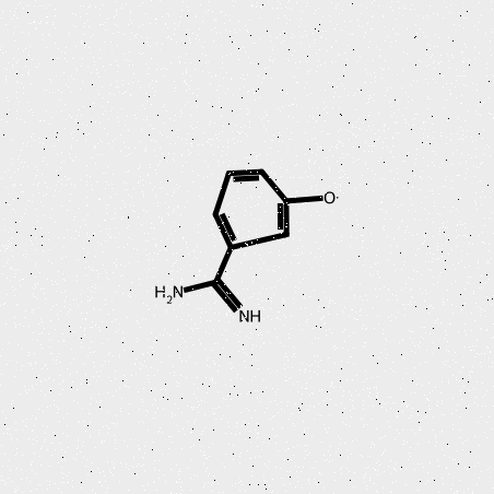 N=C(N)c1cccc([O])c1